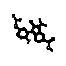 COC(=O)c1ccc2c(c1)n(C(C)C)c(=O)n2-c1cc(OC(F)F)ccc1F